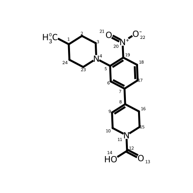 CC1CCN(c2cc(C3=CCN(C(=O)O)CC3)ccc2[N+](=O)[O-])CC1